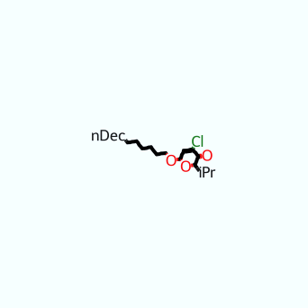 CCCCCCCCCCCCCCCCOC1C=C(Cl)C(=O)C(C(C)C)O1